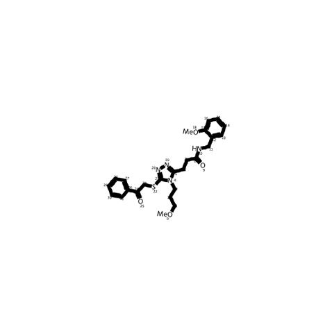 COCCCn1c(CCC(=O)NCc2ccccc2OC)nnc1SCC(=O)c1ccccc1